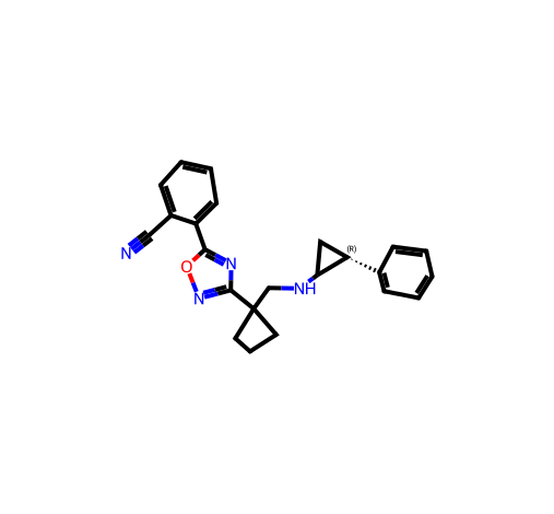 N#Cc1ccccc1-c1nc(C2(CNC3C[C@@H]3c3ccccc3)CCC2)no1